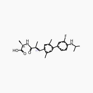 C/C(=C\c1cc(C)c(-c2ccc(NC(C)C)c(F)c2)cc1C)C(=O)N[C@H](C)C(=O)O